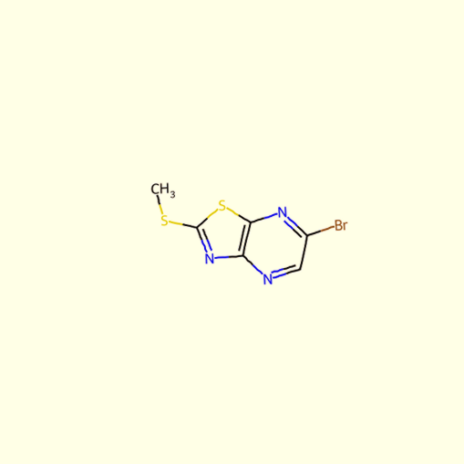 CSc1nc2ncc(Br)nc2s1